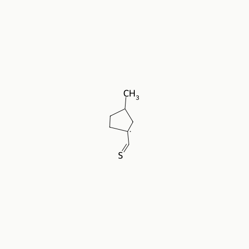 CC1CC[C](C=S)C1